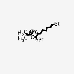 C=C(C)C(=O)OC(CCC)C(CCC)CCCCC=CCC